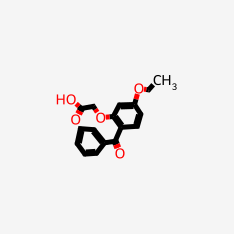 CCOc1ccc(C(=O)c2ccccc2)c(OCC(=O)O)c1